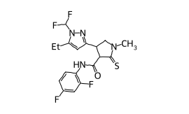 CCc1cc(C2CN(C)C(=S)C2C(=O)Nc2ccc(F)cc2F)nn1C(F)F